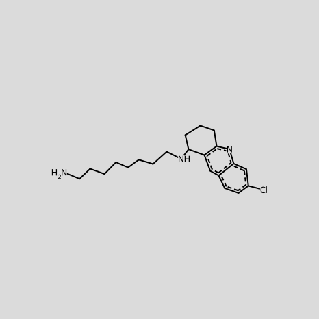 NCCCCCCCCNC1CCCc2nc3cc(Cl)ccc3cc21